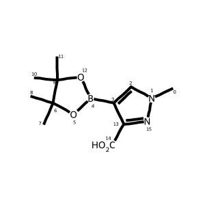 Cn1cc(B2OC(C)(C)C(C)(C)O2)c(C(=O)O)n1